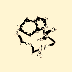 CCOC=O.CCS(=O)(=O)n1ccc2ccccc21